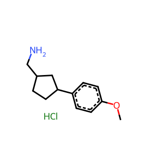 COc1ccc(C2CCC(CN)C2)cc1.Cl